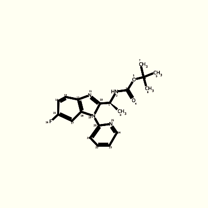 C[C@H](NC(=O)OC(C)(C)C)c1nc2ccc(F)cc2n1-c1ccccn1